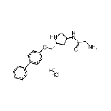 Cl.Cl.NCC(=O)N[C@@H]1CN[C@@H](COc2ccc(-c3ccccc3)cc2)C1